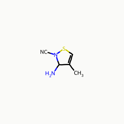 CC1=CSN(C#N)C1N